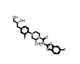 C[C@H]1CN(c2ccc(C[C@@H](O)CO)cc2F)CCN1C(=O)Nc1nc2ccc(F)cc2s1